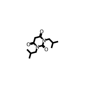 CC(C)CN1C(=O)CC(=O)N(CC(C)C)C1=O